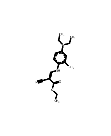 CCOC(=O)C(C#N)=CNc1ccc(N(CC)CC)cc1C